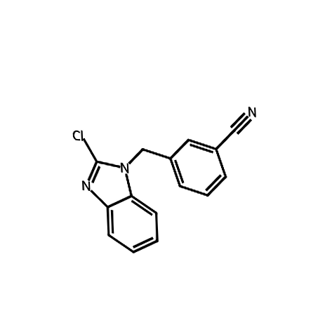 N#Cc1cccc(Cn2c(Cl)nc3ccccc32)c1